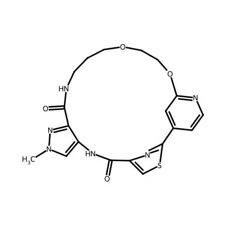 Cn1cc2c(n1)C(=O)NCCCOCCOc1cc(ccn1)-c1nc(cs1)C(=O)N2